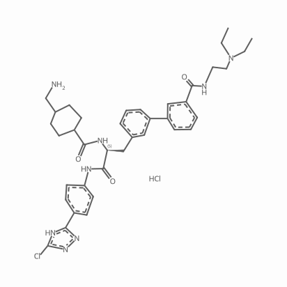 CCN(CC)CCNC(=O)c1cccc(-c2cccc(C[C@H](NC(=O)C3CCC(CN)CC3)C(=O)Nc3ccc(-c4nnc(Cl)[nH]4)cc3)c2)c1.Cl